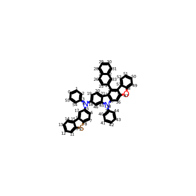 c1ccc(N(c2ccc3sc4ccccc4c3c2)c2ccc3c4c(-c5ccc6ccccc6c5)c5c(cc4n(-c4ccccc4)c3c2)oc2ccccc25)cc1